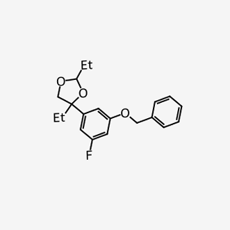 CCC1OCC(CC)(c2cc(F)cc(OCc3ccccc3)c2)O1